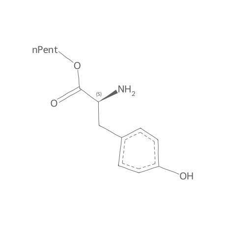 CCCCCOC(=O)[C@@H](N)Cc1ccc(O)cc1